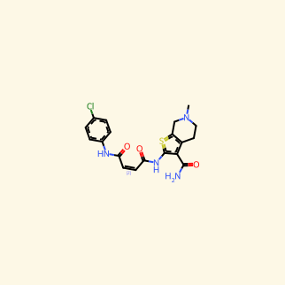 CN1CCc2c(sc(NC(=O)/C=C\C(=O)Nc3ccc(Cl)cc3)c2C(N)=O)C1